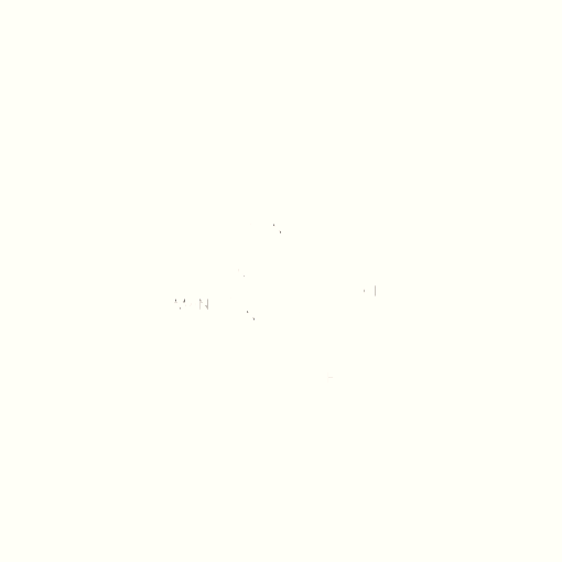 CNc1nc(-c2cc(F)cc(C(F)(F)F)c2)c(CN2CCCCC2C)s1